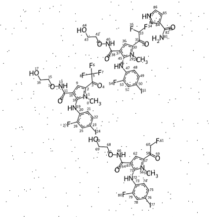 Cn1c(C(=O)C(F)(F)F)cc(C(=O)NOCCO)c1Nc1ccc(I)cc1F.Cn1c(C(=O)C(F)F)cc(C(=O)NOCCO)c1Nc1ccc(I)cc1F.Cn1c(C(=O)CF)cc(C(=O)NOCCO)c1Nc1ccc(I)cc1F.NC(=O)c1cc[nH]c1